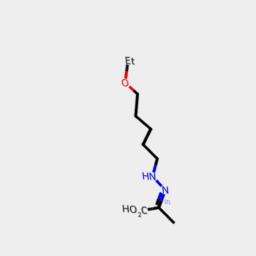 CCOCCCCCN/N=C(/C)C(=O)O